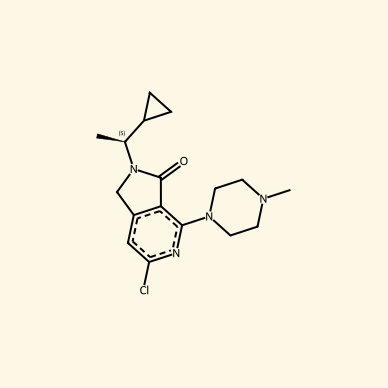 C[C@@H](C1CC1)N1Cc2cc(Cl)nc(N3CCN(C)CC3)c2C1=O